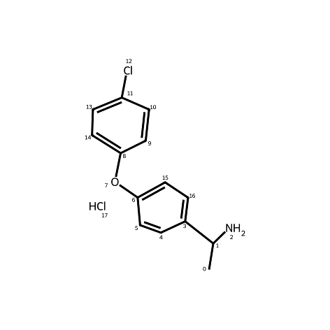 CC(N)c1ccc(Oc2ccc(Cl)cc2)cc1.Cl